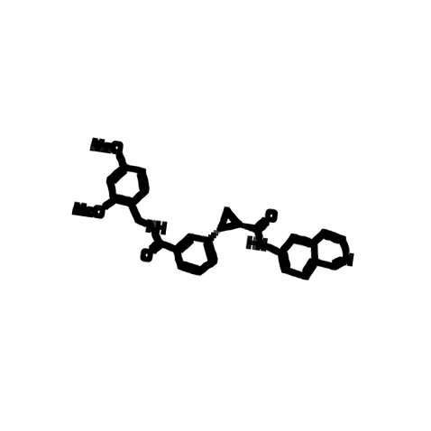 COc1ccc(CNC(=O)c2cccc([C@@H]3C[C@H]3C(=O)Nc3ccc4cnccc4c3)c2)c(OC)c1